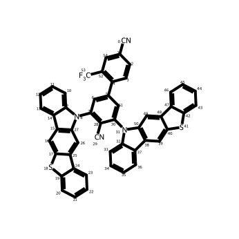 N#Cc1ccc(-c2cc(-n3c4ccccc4c4cc5sc6ccccc6c5cc43)c(C#N)c(-n3c4ccccc4c4cc5sc6ccccc6c5cc43)c2)c(C(F)(F)F)c1